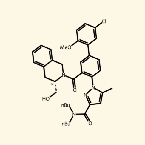 CCCCN(CCCC)C(=O)c1cc(C)n(-c2ccc(-c3cc(Cl)ccc3OC)cc2C(=O)N2Cc3ccccc3C[C@H]2CO)n1